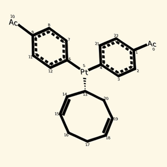 CC(=O)c1cc[c]([Pt]([c]2ccc(C(C)=O)cc2)[C@H]2C=CCCC=CC2)cc1